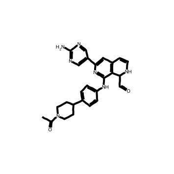 CC(=O)N1CCC(c2ccc(Nc3nc(-c4cnc(N)nc4)cc4c3C(C=O)NC=C4)cc2)CC1